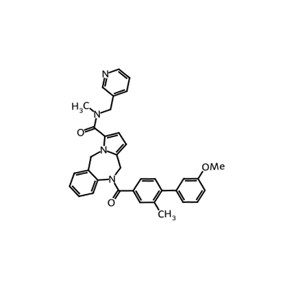 COc1cccc(-c2ccc(C(=O)N3Cc4ccc(C(=O)N(C)Cc5cccnc5)n4Cc4ccccc43)cc2C)c1